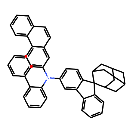 c1ccc(-c2ccccc2N(c2ccc3c(c2)-c2ccccc2C32C3CC4CC(C3)CC2C4)c2ccc3c(ccc4ccccc43)c2)cc1